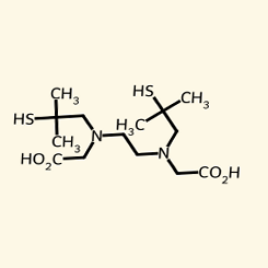 CC(C)(S)CN(CCN(CC(=O)O)CC(C)(C)S)CC(=O)O